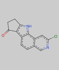 O=C1CCc2[nH]c3c(ccc4cnc(Cl)cc43)c21